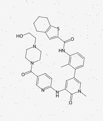 Cc1c(NC(=O)c2cc3c(s2)CCCC3)cccc1-c1cc(Nc2ccc(C(=O)N3CCN(CCO)CC3)cn2)c(=O)n(C)c1